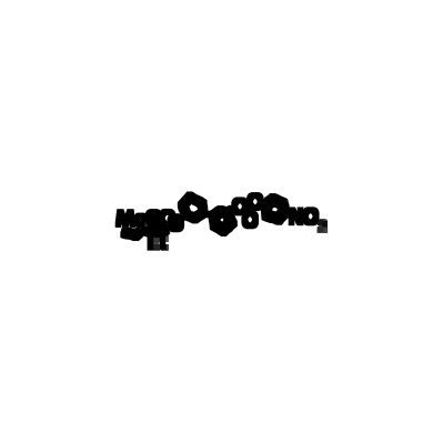 C=CCC(CC)[C@](C)(OC)OO[C@@H]1CCC[C@@H](c2cccc(OC(=O)Oc3ccc([N+](=O)[O-])cc3)c2)C1